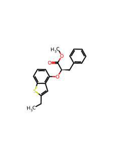 CCc1cc2c(O[C@H](Cc3ccccc3)C(=O)OC)cccc2s1